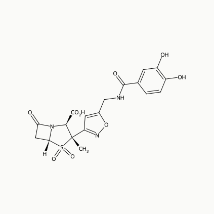 C[C@]1(c2cc(CNC(=O)c3ccc(O)c(O)c3)on2)[C@H](C(=O)O)N2C(=O)C[C@H]2S1(=O)=O